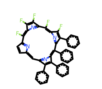 FC1=C(F)C2=C(F)C3=NC(=CC4=NC(=C(c5ccccc5)C5=NC(=C(F)C1=N2)C(F)=C5c1ccccc1)C(c1ccccc1)=C4c1ccccc1)C=C3